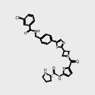 O=C(NCc1ccc(-c2cnc(C3CN(C(=O)c4ccc(NC(=O)[C@@H]5CCCN5)s4)C3)s2)cc1)c1cccc(Cl)c1